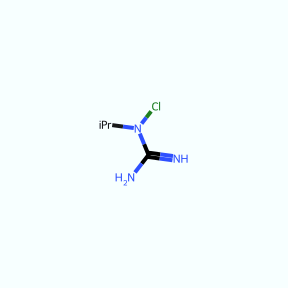 CC(C)N(Cl)C(=N)N